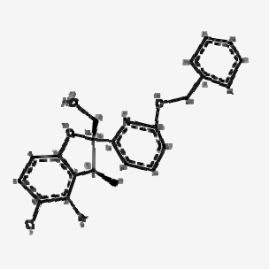 C[C@H]1c2c(ccc(Cl)c2Br)O[C@]1(CO)c1cccc(OCc2ccccc2)n1